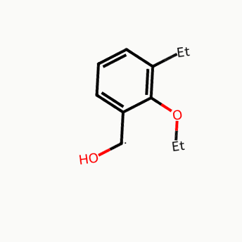 CCOc1c([CH]O)cccc1CC